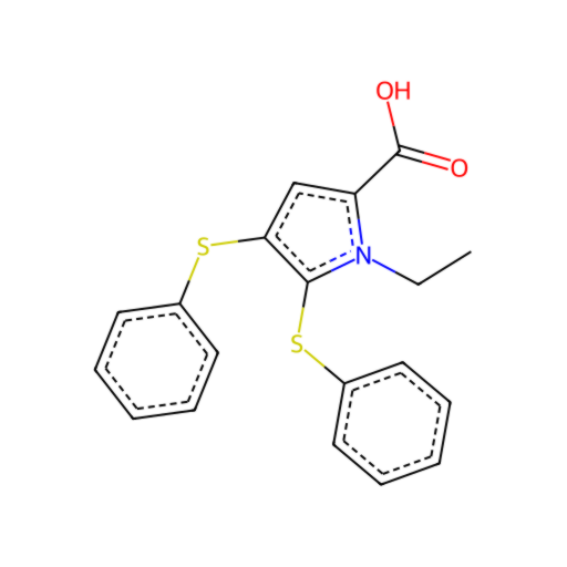 CCn1c(C(=O)O)cc(Sc2ccccc2)c1Sc1ccccc1